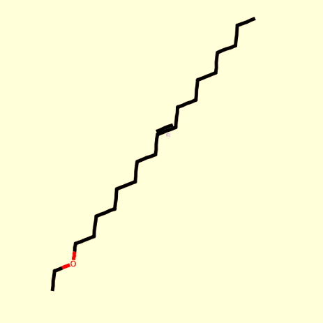 CCCCCCCC/C=C/CCCCCCCCOCC